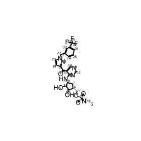 NS(=O)(=O)OC[C@H]1C[C@@H](Nc2ncncc2C(=O)c2ccn(Cc3cccc(C(F)(F)F)c3)n2)[C@H](O)[C@@H]1O